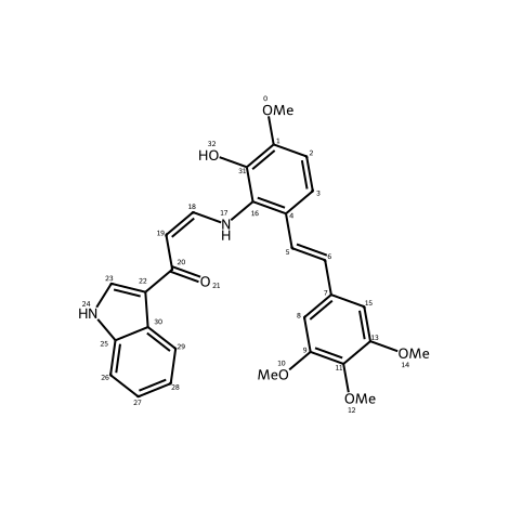 COc1ccc(C=Cc2cc(OC)c(OC)c(OC)c2)c(N/C=C\C(=O)c2c[nH]c3ccccc23)c1O